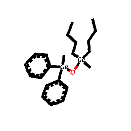 CCC[CH2][Ge]([CH3])([CH2]CCC)[O][Ge]([CH3])([c]1ccccc1)[c]1ccccc1